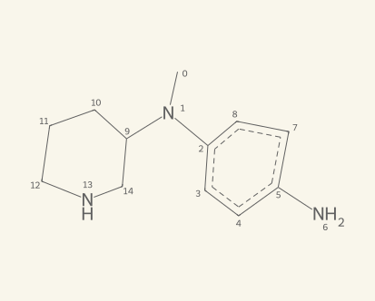 CN(c1ccc(N)cc1)C1CCCNC1